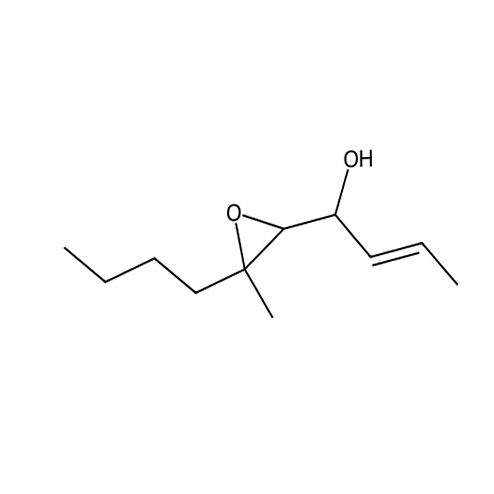 C/C=C/C(O)C1OC1(C)CCCC